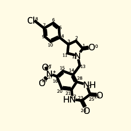 O=C1CC(c2ccc(Cl)cc2)CN1Cc1cc([N+](=O)[O-])cc2[nH]c(=O)c(=O)[nH]c12